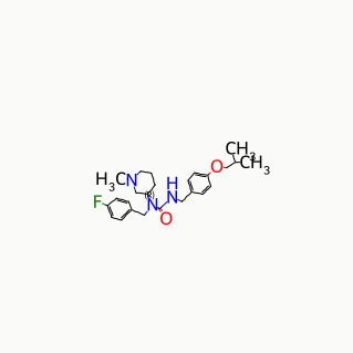 CC(C)COc1ccc(CNC(=O)N(Cc2ccc(F)cc2)[C@@H]2CCCN(C)C2)cc1